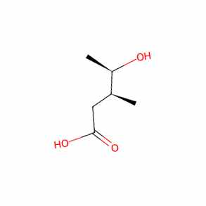 C[C@@H](O)[C@@H](C)CC(=O)O